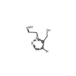 COCCn1ncc(Br)c1CO